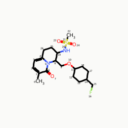 Cc1ccc2n(c1=O)C(COC1CCC(CF)CC1)C(NS(C)(=O)=O)CC2